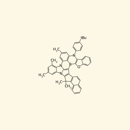 Cc1cc2c3c(c1)-n1c4c(C)cc(C)cc4n4c5c(c(c14)B3c1oc3ccccc3c1N2c1ccc(C(C)(C)C)cc1)-c1ccc2ccccc2c1C5(C)C